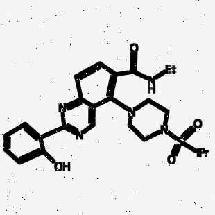 CCNC(=O)c1ccc2nc(-c3ccccc3O)ncc2c1N1CCN(S(=O)(=O)C(C)C)CC1